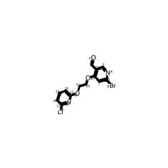 O=Cc1cnc(Br)cc1OCCOc1cccc(Cl)n1